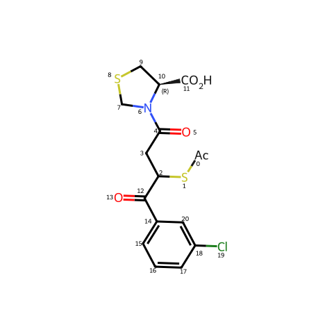 CC(=O)SC(CC(=O)N1CSC[C@H]1C(=O)O)C(=O)c1cccc(Cl)c1